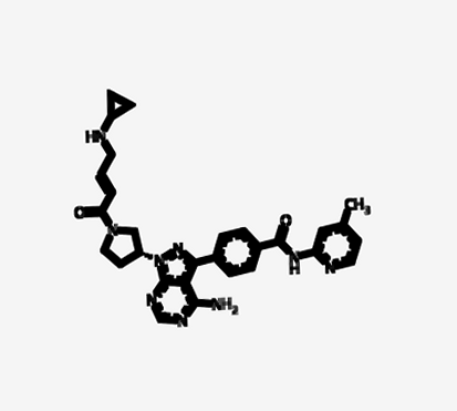 Cc1ccnc(NC(=O)c2ccc(-c3nn([C@@H]4CCN(C(=O)/C=C/CNC5CC5)C4)c4ncnc(N)c34)cc2)c1